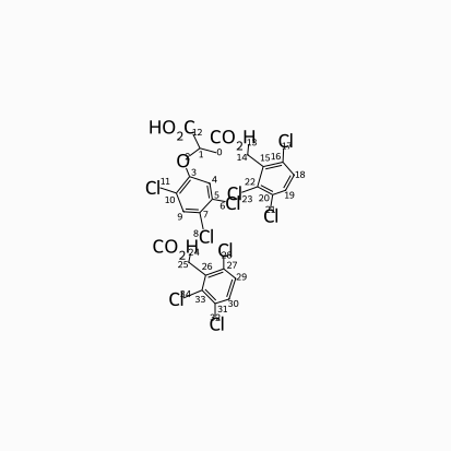 CC(Oc1cc(Cl)c(Cl)cc1Cl)C(=O)O.O=C(O)Cc1c(Cl)ccc(Cl)c1Cl.O=C(O)Cc1c(Cl)ccc(Cl)c1Cl